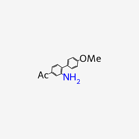 COc1ccc(-c2ccc(C(C)=O)cc2N)cc1